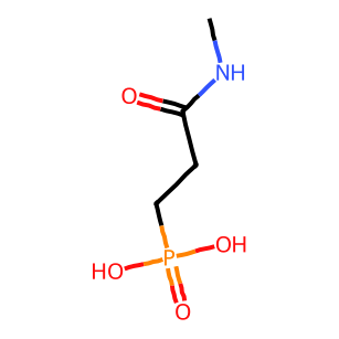 CNC(=O)CCP(=O)(O)O